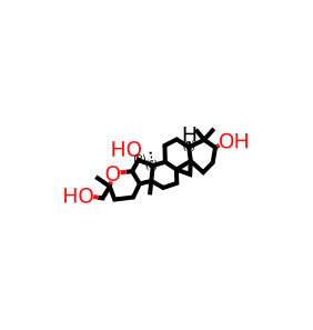 CC1(CO)CCC2C(O1)[C@H](O)[C@@]1(C)C3CC[C@H]4C(C)(C)C(O)CCC45CC35CCC21C